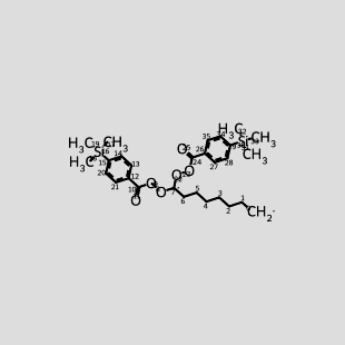 [CH2]CCCCCC[C](OOC(=O)c1ccc([Si](C)(C)C)cc1)OOC(=O)c1ccc([Si](C)(C)C)cc1